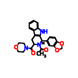 CC(=O)N1C(C(=O)N2CCOCC2)Cc2c([nH]c3ccccc23)[C@H]1c1ccc2c(c1)OCO2